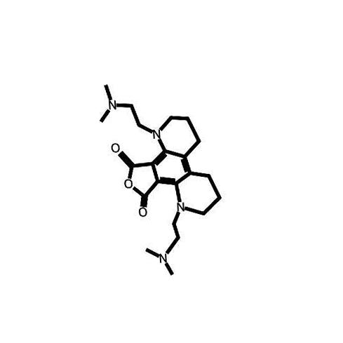 CN(C)CCN1CCCc2c3c(c4c(c21)C(=O)OC4=O)N(CCN(C)C)CCC3